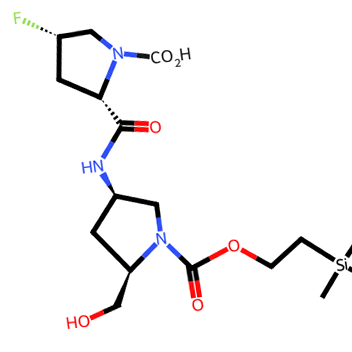 C[Si](C)(C)CCOC(=O)N1C[C@H](NC(=O)[C@@H]2C[C@H](F)CN2C(=O)O)C[C@@H]1CO